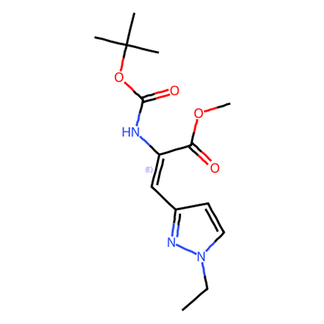 CCn1ccc(/C=C(/NC(=O)OC(C)(C)C)C(=O)OC)n1